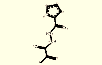 C=C(C)C(=O)NNC(=O)c1cccs1